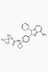 CC(C)(C)OC(=O)NC1(c2ccc(C3N=C4C(N)=CC=CN4C3C3C=CC=CC3)cc2)CCC1